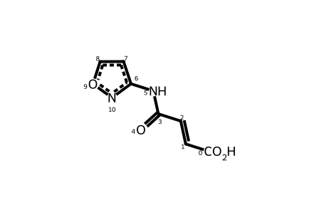 O=C(O)C=CC(=O)Nc1ccon1